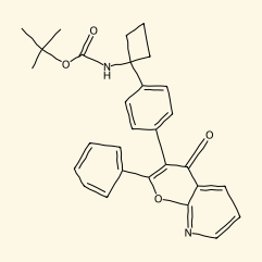 CC(C)(C)OC(=O)NC1(c2ccc(-c3c(-c4ccccc4)oc4ncccc4c3=O)cc2)CCC1